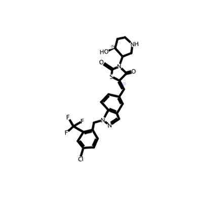 O=C1S/C(=C\c2ccc3c(cnn3Cc3ccc(Cl)cc3C(F)(F)F)c2)C(=O)N1C1CNCC[C@@H]1O